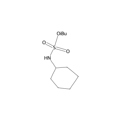 CC(C)COS(=O)(=O)NC1CCCCC1